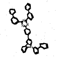 c1ccc(-c2cccc(-c3nc(-c4ccc(-c5ccc6c(c5)c5ccccc5n6-c5cccc(-c6ccccc6)c5)cc4)nc(-c4cccc(-c5ccccc5)c4)n3)c2)cc1